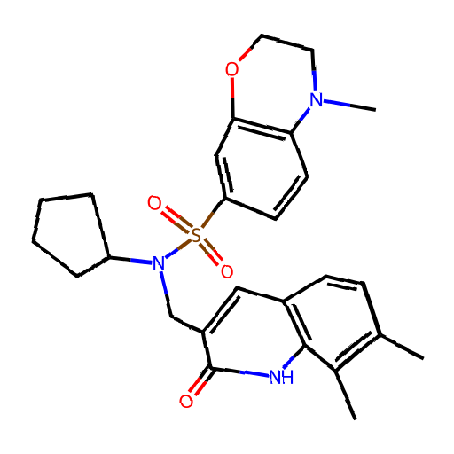 Cc1ccc2cc(CN(C3CCCC3)S(=O)(=O)c3ccc4c(c3)OCCN4C)c(=O)[nH]c2c1C